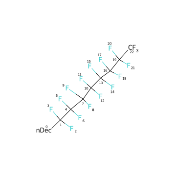 CCCCCCCCCCC(F)(F)C(F)(F)C(F)(F)C(F)(F)C(F)(F)C(F)(F)C(F)(F)C(F)(F)F